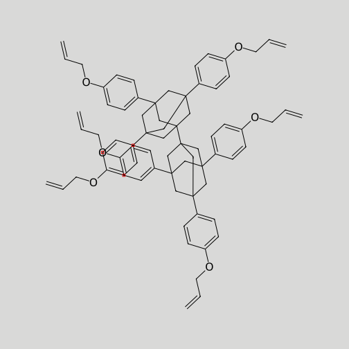 C=CCOc1ccc(C23CC4(c5ccc(OCC=C)cc5)CC(c5ccc(OCC=C)cc5)(C2)CC(C25CC6(c7ccc(OCC=C)cc7)CC(c7ccc(OCC=C)cc7)(CC(c7ccc(OCC=C)cc7)(C6)C2)C5)(C3)C4)cc1